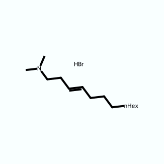 Br.CCCCCCCCCC=CCCN(C)C